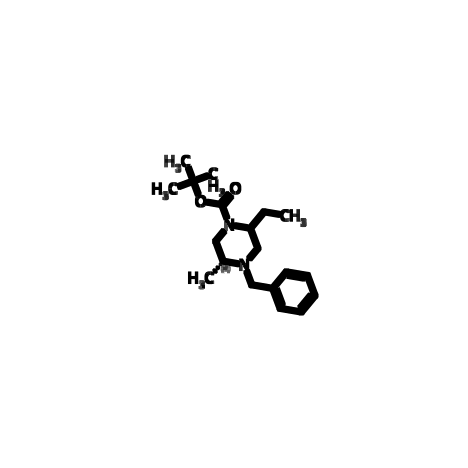 CCC1CN(Cc2ccccc2)[C@H](C)CN1C(=O)OC(C)(C)C